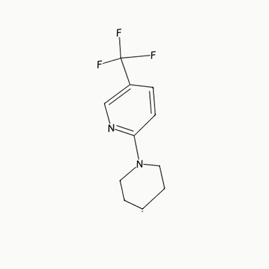 FC(F)(F)c1ccc(N2CC[CH]CC2)nc1